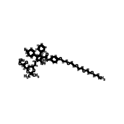 CC(C)c1c(C(=O)Nc2ccc(OCCOCCOCCOCCOCCN)cc2)c(-c2ccccc2)c(-c2ccc(F)cc2)n1CC[C@@H]1C[C@H](CC(=O)OC(C)(C)C)OC(C)(C)O1